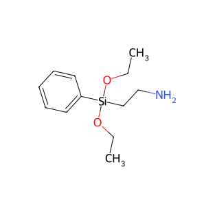 CCO[Si](CCN)(OCC)c1ccccc1